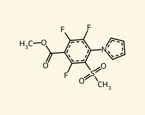 COC(=O)c1c(F)c(F)c(-n2cccc2)c(S(C)(=O)=O)c1F